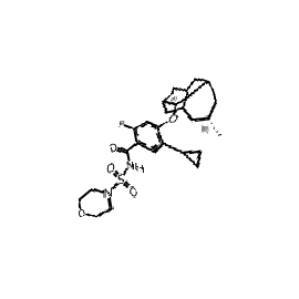 C[C@@H]1CC2CC3CC2CC(C1)[C@H]3Oc1cc(F)c(C(=O)NS(=O)(=O)N2CCOCC2)cc1C1CC1